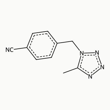 Cc1nnnn1Cc1ccc(C#N)cc1